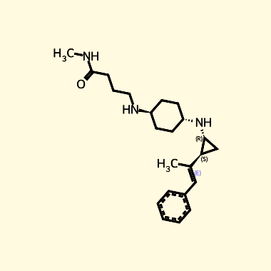 CNC(=O)CCCN[C@H]1CC[C@H](N[C@@H]2C[C@H]2/C(C)=C/c2ccccc2)CC1